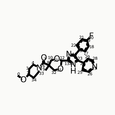 COC1CCN(C(=O)C2(C)COC(c3nc(-c4ccc(F)cc4)c(-c4ccncc4)[nH]3)OC2)CC1